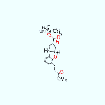 COC(=O)CCc1cccc2c1O[C@H]1C[C@H](C(O)O[Si](C)(C)C(C)(C)C)C[C@@H]21